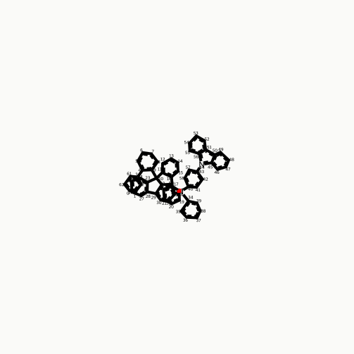 c1ccc(-c2ccccc2C2(c3ccccc3-c3ccccc3)c3ccccc3-c3ccc(N(c4ccccc4)c4ccc(-n5c6ccccc6c6ccccc65)cc4)cc32)cc1